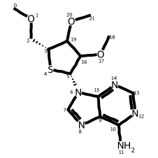 COC[C@H]1S[C@@H](n2cnc3c(N)ncnc32)C(OC)C1OC